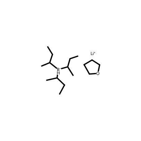 C1CCOC1.CCC(C)[BH-](C(C)CC)C(C)CC.[Li+]